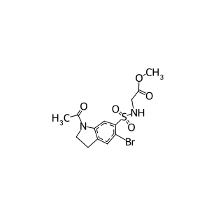 COC(=O)CNS(=O)(=O)c1cc2c(cc1Br)CCN2C(C)=O